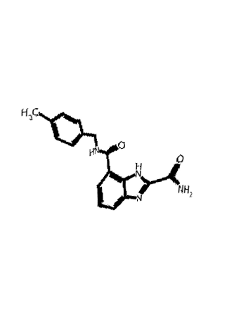 Cc1ccc(CNC(=O)c2cccc3nc(C(N)=O)[nH]c23)cc1